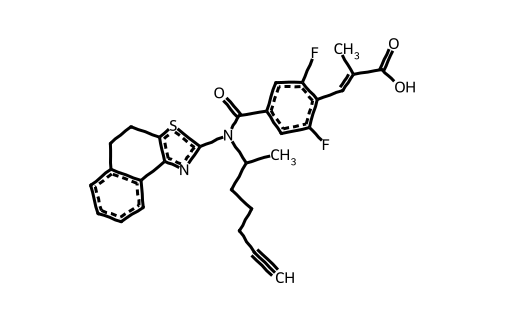 C#CCCCC(C)N(C(=O)c1cc(F)c(/C=C(\C)C(=O)O)c(F)c1)c1nc2c(s1)CCc1ccccc1-2